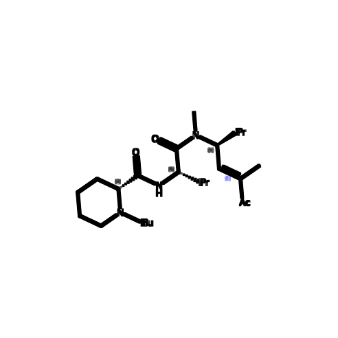 CCC(C)N1CCCC[C@@H]1C(=O)N[C@H](C(=O)N(C)[C@H](/C=C(\C)C(C)=O)C(C)C)C(C)C